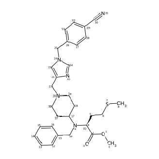 COC(=O)[C@H](CCSC)N(Cc1ccccc1)C1CCN(Cc2cn(Cc3ccc(C#N)cc3)cn2)CC1